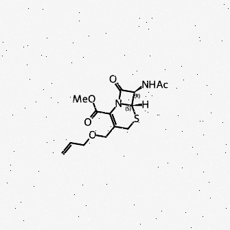 C=CCOCC1=C(C(=O)OC)N2C(=O)[C@@H](NC(C)=O)[C@@H]2SC1